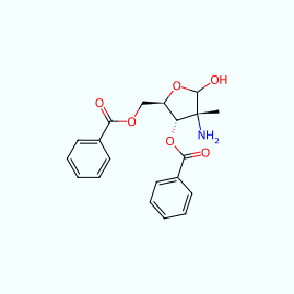 C[C@]1(N)C(O)O[C@H](COC(=O)c2ccccc2)[C@H]1OC(=O)c1ccccc1